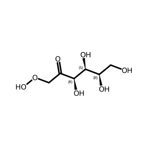 O=C(COO)[C@H](O)[C@@H](O)[C@H](O)CO